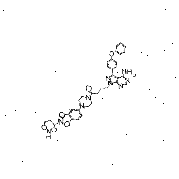 Nc1ncnc2c1c(-c1ccc(Oc3ccccc3)cc1)nn2CCCC(=O)N1CCN(c2[c]c3c(cc2)ON(C2CCONO2)O3)CC1